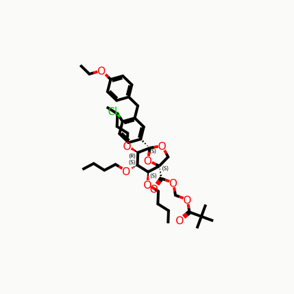 CCCCO[C@@H]1[C@@H](OCCCC)[C@@]2(c3ccc(Cl)c(Cc4ccc(OCC)cc4)c3)OC[C@](C(=O)OCOC(=O)C(C)(C)C)(O2)[C@H]1OCCCC